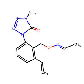 C=Cc1cccc(-n2nnn(C)c2=O)c1CON=CC